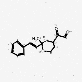 CC1(C=Cc2ccccc2)OCCC(C(=O)C=O)O1